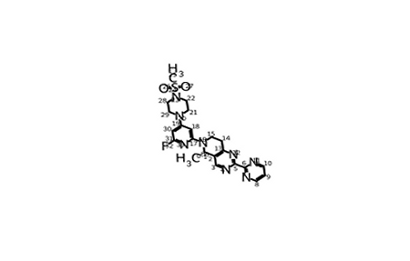 C[C@H]1c2cnc(-c3ncccn3)nc2CCN1c1cc(N2CCN(S(C)(=O)=O)CC2)cc(F)n1